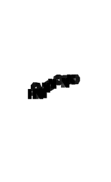 c1ccc2c(N3CCN(c4ccc5c(c4)N=C(N4CCCCC4)C5)CC3)n[nH]c2c1